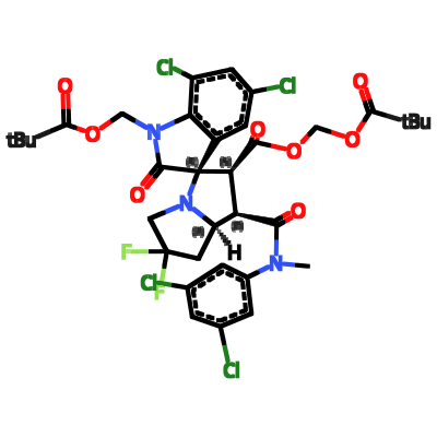 CN(C(=O)[C@H]1[C@H]2CC(F)(F)CN2[C@]2(C(=O)N(COC(=O)C(C)(C)C)c3c(Cl)cc(Cl)cc32)[C@H]1C(=O)OCOC(=O)C(C)(C)C)c1cc(Cl)cc(Cl)c1